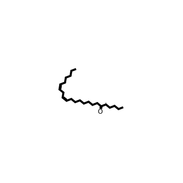 CCCC[CH]C(=O)CCCCCCC/C=C\C/C=C\CCCCC